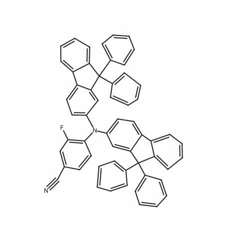 N#Cc1ccc(N(c2ccc3c(c2)C(c2ccccc2)(c2ccccc2)c2ccccc2-3)c2ccc3c(c2)C(c2ccccc2)(c2ccccc2)c2ccccc2-3)c(F)c1